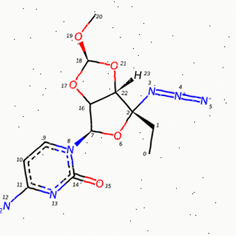 CC[C@@]1(N=[N+]=[N-])O[C@@H](n2ccc(N)nc2=O)C2O[C@@H](OC)O[C@@H]21